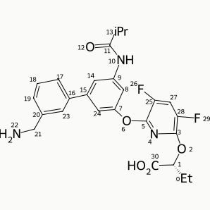 CC[C@@H](Oc1nc(Oc2cc(NC(=O)C(C)C)cc(-c3cccc(CN)c3)c2)c(F)cc1F)C(=O)O